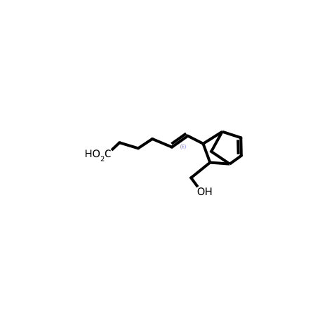 O=C(O)CCC/C=C/C1C2C=CC(C2)C1CO